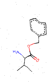 CC(C)C(N)C(=O)OCc1ccccc1